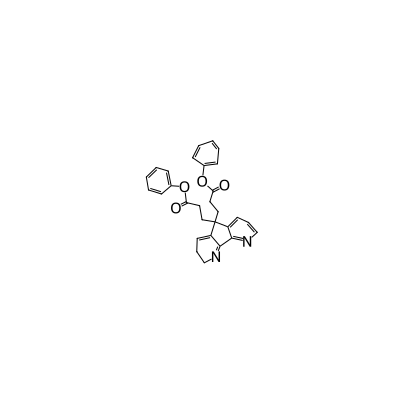 O=C(CCC1(CCC(=O)Oc2ccccc2)C2=CCCN=C2c2ncccc21)Oc1ccccc1